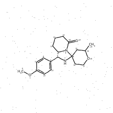 COc1ccc(CNC2(N3CCCCC3=O)CCOC(C)C2)cc1